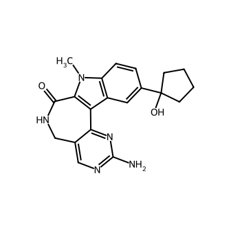 Cn1c2c(c3cc(C4(O)CCCC4)ccc31)-c1nc(N)ncc1CNC2=O